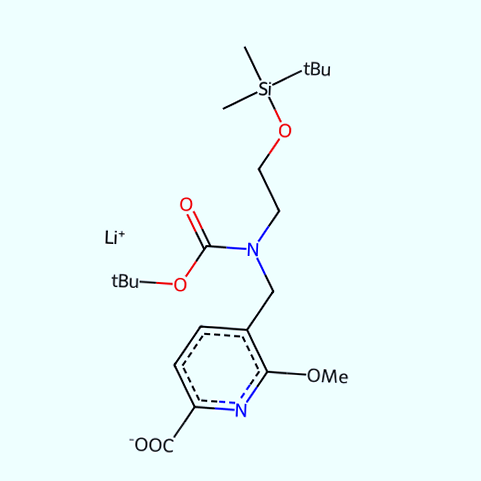 COc1nc(C(=O)[O-])ccc1CN(CCO[Si](C)(C)C(C)(C)C)C(=O)OC(C)(C)C.[Li+]